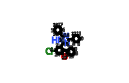 Clc1cc(C2N=C(c3ccccc3)N=C(c3ccccc3)N2)c2c(c1)oc1ccccc12